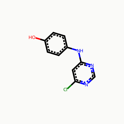 Oc1ccc(Nc2cc(Cl)ncn2)cc1